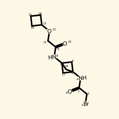 O=C(CBr)NC12CC(NC(=O)COC3CCC3)(C1)C2